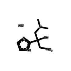 CN(C)CC(O)(C[N+](=O)[O-])c1ncc[nH]1.Cl